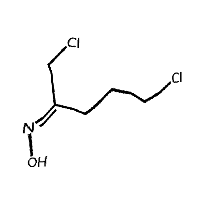 O/N=C(/CCl)CCCCl